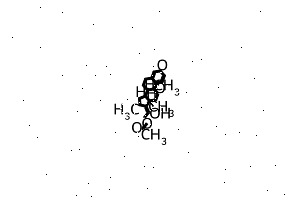 CC(=O)OCC(O)=C1[C@H](C)C[C@H]2[C@@H]3CCC4=CC(=O)C=C[C@]4(C)[C@@]34O[C@H]4C[C@]12C